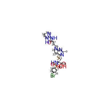 Cc1nc(SC[C@H](NS(=O)(=O)c2ccc(Br)cc2)C(=O)O)c2ccn(CCCC(=O)NC3=NCCCN3)c2n1